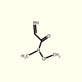 CON(C)C(=O)C=P